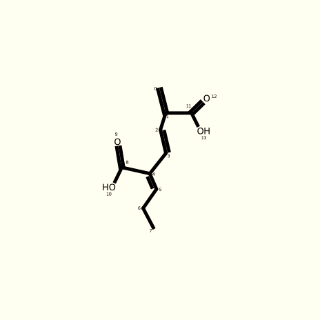 C=C(C=CC(=CCC)C(=O)O)C(=O)O